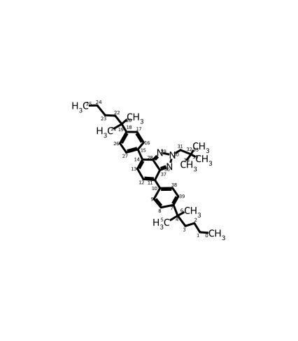 CCCCC(C)(C)c1ccc(-c2ccc(-c3ccc(C(C)(C)CCCC)cc3)c3nn(CC(C)(C)C)nc23)cc1